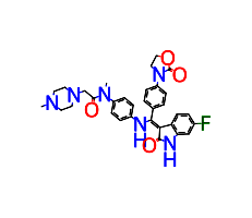 CN1CCN(CC(=O)N(C)c2ccc(N/C(=C3\C(=O)Nc4cc(F)ccc43)c3ccc(N4CCOC4=O)cc3)cc2)CC1